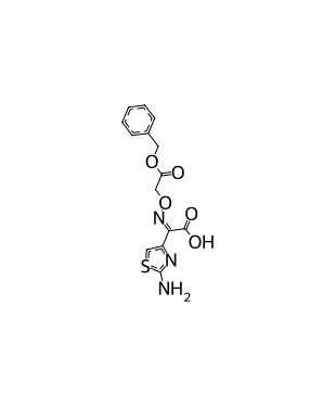 Nc1nc(C(=NOCC(=O)OCc2ccccc2)C(=O)O)cs1